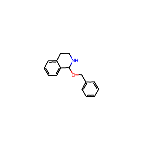 c1ccc(COC2NCCc3ccccc32)cc1